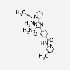 CC#CCN1CCCCC1c1nc(-c2ccc(C(=O)Nc3cc(C)ccn3)cc2)c(C(N)=O)n1N